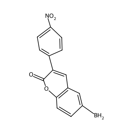 Bc1ccc2oc(=O)c(-c3ccc([N+](=O)[O-])cc3)cc2c1